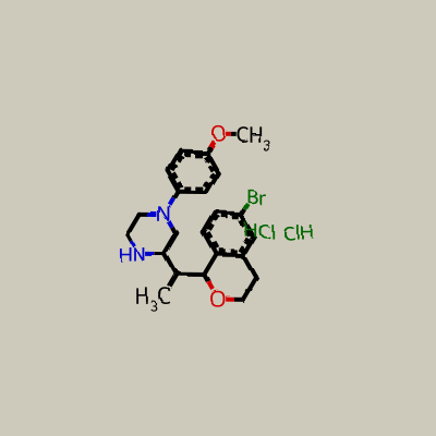 COc1ccc(N2CCNC(C(C)C3OCCc4cc(Br)ccc43)C2)cc1.Cl.Cl